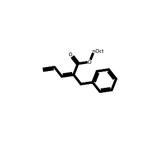 C=CC=C(Cc1ccccc1)C(=O)OCCCCCCCC